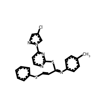 Cc1ccc(N=C(C=CSc2ccccc2)Sc2nccc(-n3cc(Cl)cn3)n2)cc1